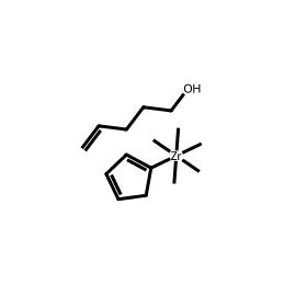 C=CCCCO.[CH3][Zr]([CH3])([CH3])([CH3])([CH3])[C]1=CC=CC1